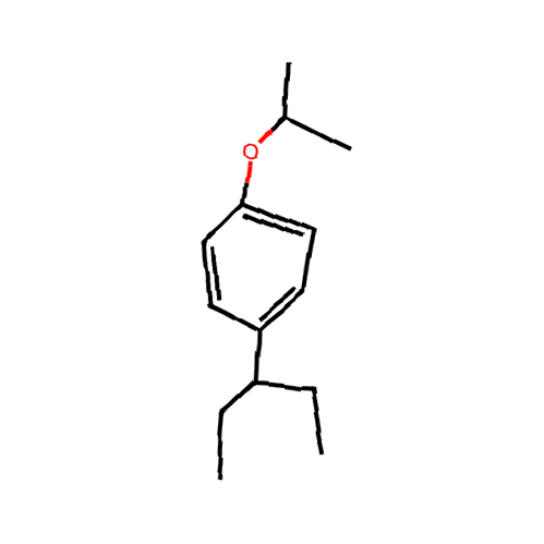 CCC(CC)c1ccc(OC(C)C)cc1